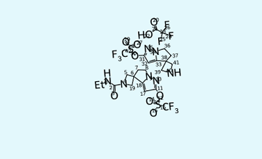 CCNC(=O)N1CC2(CCn3nc(OS(=O)(=O)C(F)(F)F)cc32)C1.O=C(O)C(F)(F)F.O=S(=O)(Oc1cc2n(n1)CCC21CNC1)C(F)(F)F